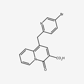 O=C(O)c1cc(Cc2ccc(Br)cn2)c2ccccn2c1=O